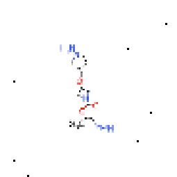 CC(CN=[N+]=[N-])OC(=O)N1CC(OCC2CCN(N)CC2)C1